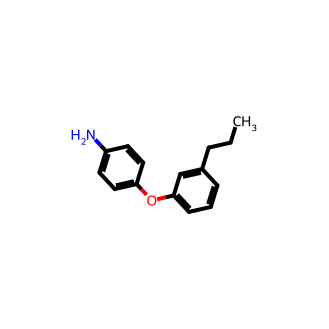 CCCc1cccc(Oc2ccc(N)cc2)c1